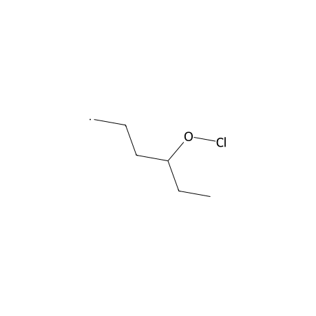 [CH2]CCC(CC)OCl